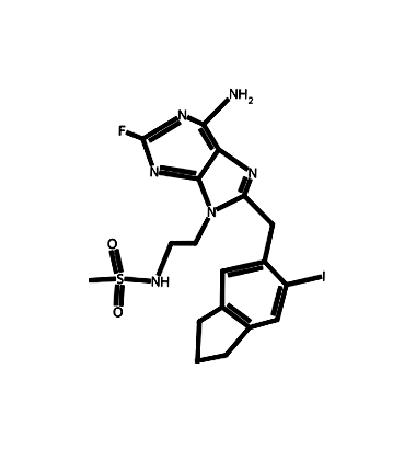 CS(=O)(=O)NCCn1c(Cc2cc3c(cc2I)CCC3)nc2c(N)nc(F)nc21